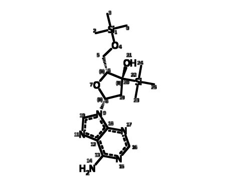 C[Si](C)(C)OC[C@H]1O[C@@H](n2cnc3c(N)ncnc32)C[C@@]1(O)[Si](C)(C)C